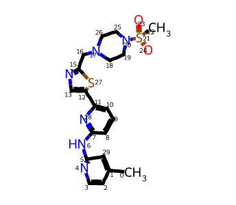 Cc1ccnc(Nc2cccc(-c3cnc(CN4CCN(S(C)(=O)=O)CC4)s3)n2)c1